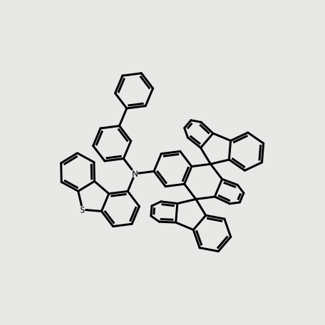 c1ccc(-c2cccc(N(c3ccc4c(c3)C3(c5ccccc5-c5ccccc53)c3ccccc3C43c4ccccc4-c4ccccc43)c3cccc4sc5ccccc5c34)c2)cc1